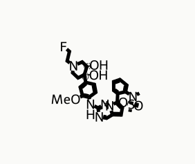 COc1cc([C@@]2(O)CCN(CCF)C[C@@H]2O)ccc1Nc1ncc2ccc(-c3ccccc3N(C)S(C)(=O)=O)n2n1